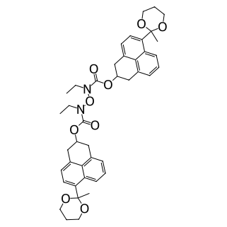 CCN(ON(CC)C(=O)OC1Cc2cccc3c(C4(C)OCCCO4)ccc(c23)C1)C(=O)OC1Cc2cccc3c(C4(C)OCCCO4)ccc(c23)C1